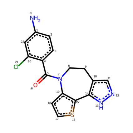 Nc1ccc(C(=O)N2CCc3cn[nH]c3-c3sccc32)c(Cl)c1